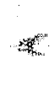 CC(O)C(=O)O.CC(O)C(=O)O.CCCCCCCCCCCC(C)N(Cc1cccc(CN(C(C)CCCCCCCCCCC)C(C)CCCCCCCCCCC)c1)C(C)CCCCCCCCCCC